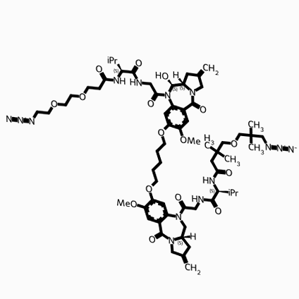 C=C1C[C@H]2CN(C(=O)CNC(=O)[C@@H](NC(=O)CC(C)(C)COCC(C)(C)CN=[N+]=[N-])C(C)C)c3cc(OCCCCCOc4cc5c(cc4OC)C(=O)N4CC(=C)C[C@H]4[C@H](O)N5C(=O)CNC(=O)[C@@H](NC(=O)CCOCCOCCN=[N+]=[N-])C(C)C)c(OC)cc3C(=O)N2C1